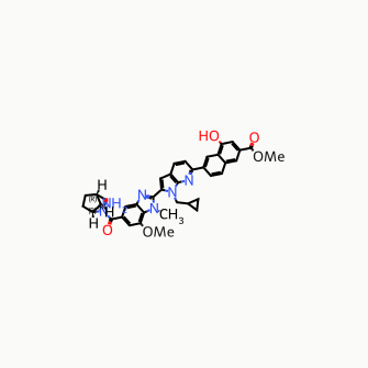 COC(=O)c1cc(O)c2cc(-c3ccc4cc(-c5nc6cc(C(=O)N7C[C@H]8CC[C@@H]7[C@@H]8N)cc(OC)c6n5C)n(CC5CC5)c4n3)ccc2c1